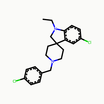 CCN1CC2(CCN(Cc3ccc(Cl)cc3)CC2)c2cc(Cl)ccc21